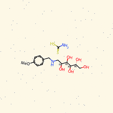 COc1ccc(CNC[C@H](O)[C@@H](O)[C@H](O)[C@H](O)CO)cc1.NC(=S)S